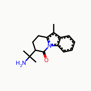 Cc1c2n(c3ccccc13)C(=O)C(C(C)(C)N)CC2